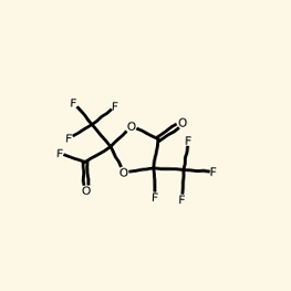 O=C1OC(C(=O)F)(C(F)(F)F)OC1(F)C(F)(F)F